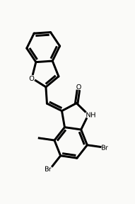 Cc1c(Br)cc(Br)c2c1C(=Cc1cc3ccccc3o1)C(=O)N2